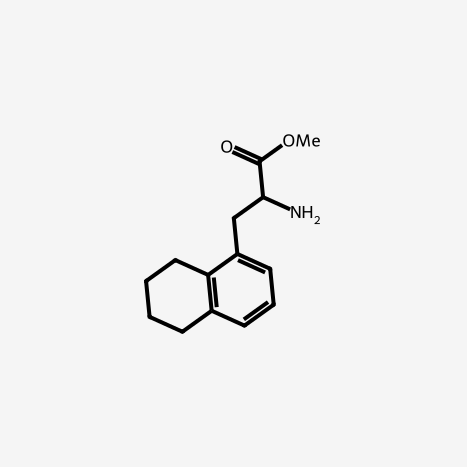 COC(=O)C(N)Cc1cccc2c1CCCC2